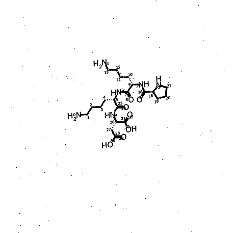 NCCCC[C@H](NC(=O)[C@H](CCCCN)NC(=O)[C@@H]1CCCN1)C(=O)N[C@@H](CC(=O)O)C(=O)O